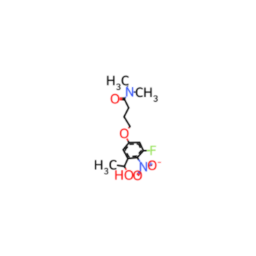 CC(O)c1cc(OCCCC(=O)N(C)C)cc(F)c1[N+](=O)[O-]